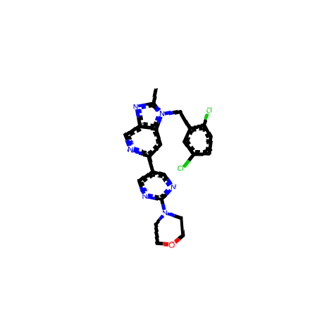 Cc1nc2cnc(-c3cnc(N4CCOCC4)nc3)cc2n1Cc1cc(Cl)ccc1Cl